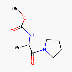 CC(C)[C@H](NC(=O)OC(C)(C)C)C(=O)N1CCCC1